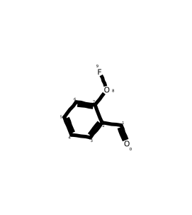 O=Cc1ccccc1OF